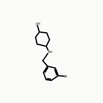 OC1CCC(NCc2cccc(Br)c2)CC1